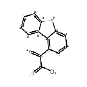 O=C(Cl)C(=O)c1cccc2sc3ccccc3c12